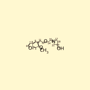 COc1cc2occc2cc1CCOCCN1CCC(O)C1